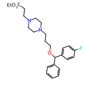 CCOC(=O)CCN1CCN(CCCOC(c2ccccc2)c2ccc(F)cc2)CC1